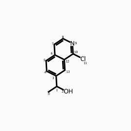 CC(O)c1ccc2ccnc(Cl)c2c1